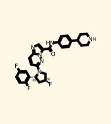 O=C(Nc1ccc(C2CCNCC2)cc1)c1cnc2ccc(N3C[C@@H](F)C[C@@H]3c3cc(F)ccc3F)nn12